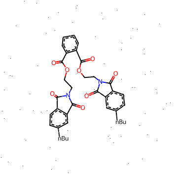 CCCCc1ccc2c(c1)C(=O)N(CCOC(=O)c1ccccc1C(=O)OCCN1C(=O)c3ccc(CCCC)cc3C1=O)C2=O